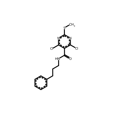 CSc1nc(Cl)c(C(=O)NCCCc2ccccc2)c(Cl)n1